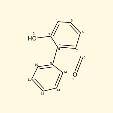 C=O.Oc1ccccc1-c1ccccc1